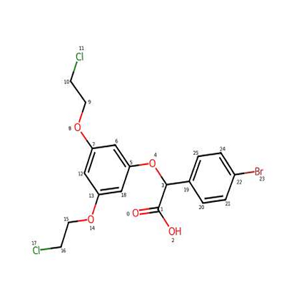 O=C(O)C(Oc1cc(OCCCl)cc(OCCCl)c1)c1ccc(Br)cc1